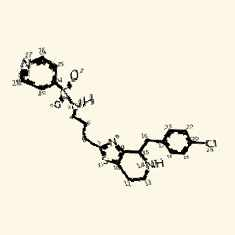 O=S(=O)(NCCCc1nc2c(s1)CCNC2Cc1ccc(Cl)cc1)c1ccncc1